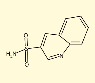 NS(=O)(=O)c1[c]nc2ccccc2c1